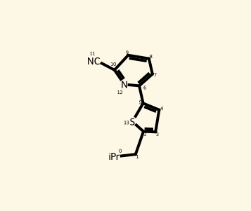 CC(C)Cc1ccc(-c2cccc(C#N)n2)s1